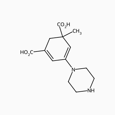 CC1(C(=O)O)C=C(N2CCNCC2)C=C(C(=O)O)C1